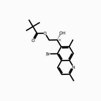 Cc1ccc2c(Br)c([C@@H](O)COC(=O)C(C)(C)C)c(C)cc2n1